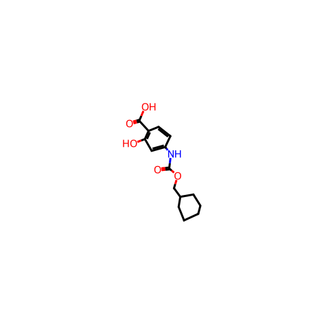 O=C(Nc1ccc(C(=O)O)c(O)c1)OCC1CCCCC1